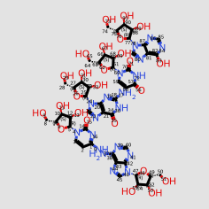 Nc1ccn([C@@H]2O[C@H](CO)[C@@H](O)[C@H]2O)c(=O)n1.Nc1nc2c(ncn2[C@@H]2O[C@H](CO)[C@@H](O)[C@H]2O)c(=O)[nH]1.Nc1ncnc2c1ncn2[C@@H]1O[C@H](CO)[C@@H](O)[C@H]1O.O=c1ccn([C@@H]2O[C@H](CO)[C@@H](O)[C@H]2O)c(=O)[nH]1.OC[C@H]1O[C@@H](n2cnc3c(O)ncnc32)[C@H](O)[C@@H]1O